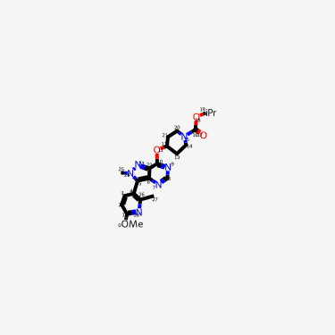 COc1ccc(-c2c3ncnc(OC4CCN(C(=O)OC(C)C)CC4)c3nn2C)c(C)n1